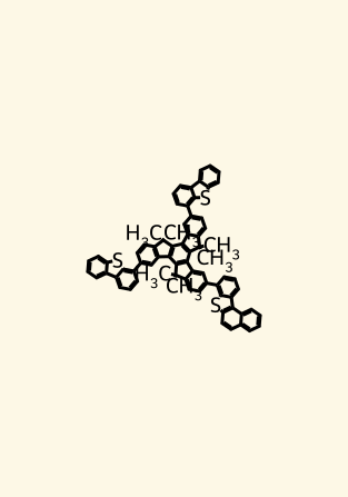 CC1(C)c2ccc(-c3cccc4c3sc3ccccc34)cc2-c2c1c1c(c3c2C(C)(C)c2ccc(-c4cccc5c4sc4ccc6ccccc6c45)cc2-3)C(C)(C)c2ccc(-c3cccc4c3sc3ccccc34)cc2-1